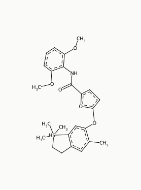 COc1cccc(OC)c1NC(=O)c1ccc(Oc2cc3c(cc2C)CC[SH]3(C)(C)C)o1